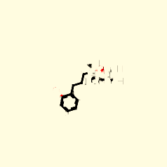 C[Si](C)(C)O[Si](C)(C)CCCc1ccccc1O